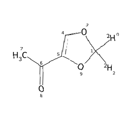 [2H]C1([2H])OC=C(C(C)=O)O1